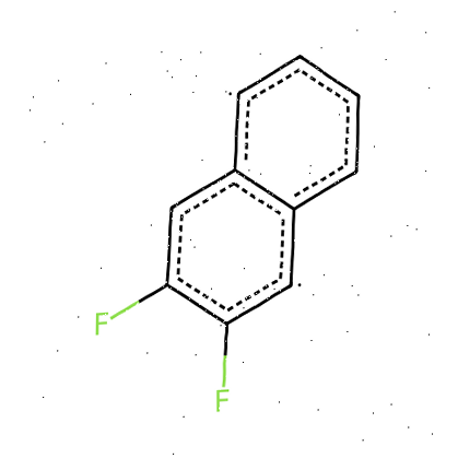 Fc1[c]c2ccc[c]c2cc1F